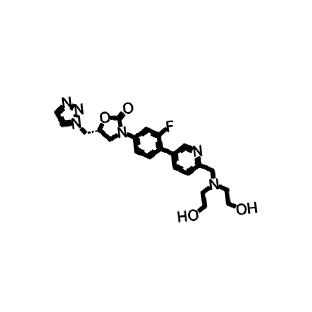 O=C1O[C@@H](Cn2ccnn2)CN1c1ccc(-c2ccc(CN(CCO)CCO)nc2)c(F)c1